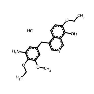 CCOc1ccc2c(Cc3cc(N)c(OCC)c(OC)c3)cncc2c1O.Cl